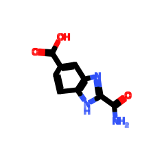 NC(=O)c1nc2cc(C(=O)O)ccc2[nH]1